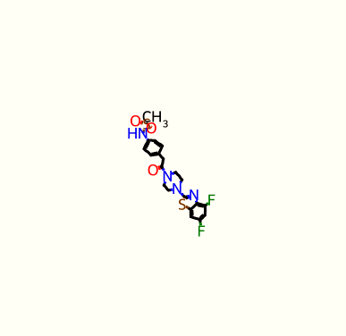 CS(=O)(=O)Nc1ccc(CC(=O)N2CCN(c3nc4c(F)cc(F)cc4s3)CC2)cc1